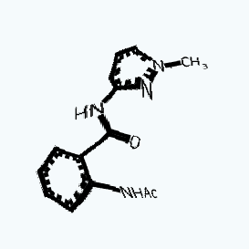 CC(=O)Nc1ccccc1C(=O)Nc1ccn(C)n1